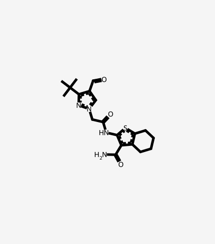 CC(C)(C)c1nn(CC(=O)Nc2sc3c(c2C(N)=O)CCCC3)cc1C=O